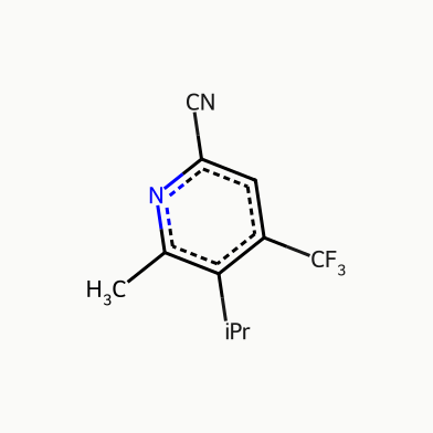 Cc1nc(C#N)cc(C(F)(F)F)c1C(C)C